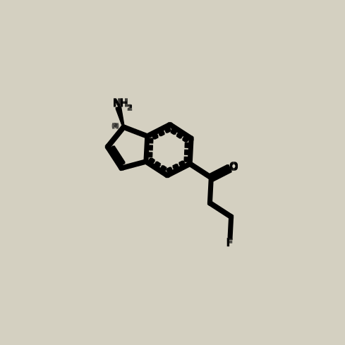 N[C@@H]1C=Cc2cc(C(=O)CCF)ccc21